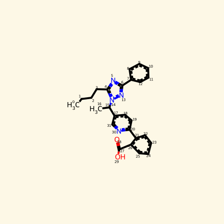 CCCCc1nc(-c2ccccc2)nn1C(C)c1ccc(-c2ccccc2C(=O)O)nc1